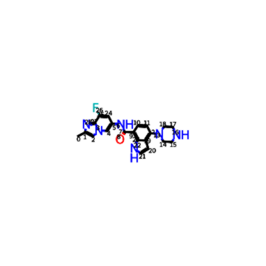 Cc1cn2cc(NC(=O)c3ccc(N4CCNCC4)c4cc[nH]c34)cc(F)c2n1